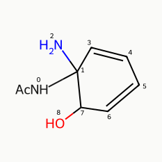 CC(=O)NC1(N)C=CC=CC1O